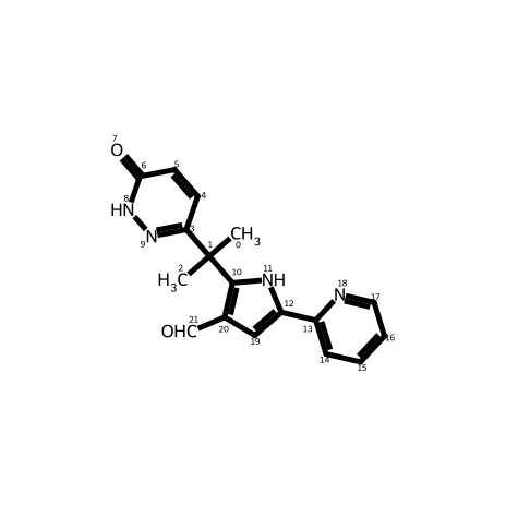 CC(C)(c1ccc(=O)[nH]n1)c1[nH]c(-c2ccccn2)cc1C=O